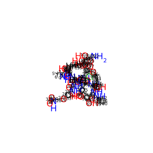 CN[C@H](CC(C)C)C(=O)N[C@H]1C(=O)N[C@@H](CC(=O)NC(=O)Nc2ccc(OCCCNS(C)(=O)=O)cc2)C(=O)N[C@H]2C(=O)N[C@H]3C(=O)N[C@H](C(=O)N[C@H](C(=O)NC4C5CC6CC(C5)CC4C6)c4cc(O)cc(O)c4-c4cc3ccc4O)[C@H](O)c3ccc(c(Cl)c3)Oc3cc2cc(c3O[C@@H]2O[C@H](CN)[C@@H](O)[C@H](O)[C@H]2O)Oc2ccc(cc2C)[C@H]1O